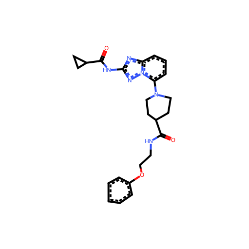 O=C(NCCOc1ccccc1)C1CCN(c2cccc3nc(NC(=O)C4CC4)nn23)CC1